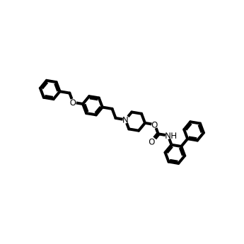 O=C(Nc1ccccc1-c1ccccc1)OC1CCN(CCc2ccc(OCc3ccccc3)cc2)CC1